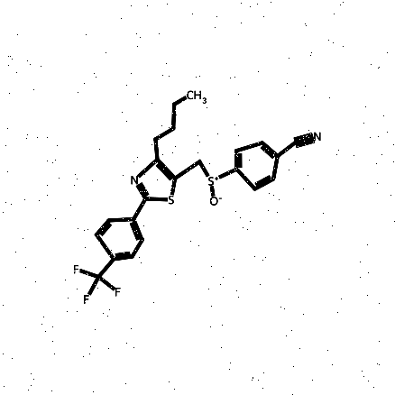 CCCCc1nc(-c2ccc(C(F)(F)F)cc2)sc1C[S+]([O-])c1ccc(C#N)cc1